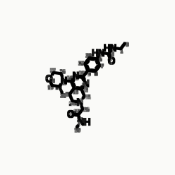 CCNC(=O)Nc1ccc(-c2nc3c(c(N4CCOC[C@@H]4C)n2)CCN(CC(=O)NC)C3)cc1